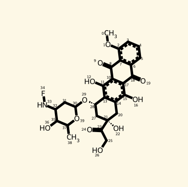 COc1cccc2c1C(=O)c1c(O)c3c(c(O)c1C2=O)C[C@@](O)(C(=O)CO)C[C@@H]3OC1CC(NF)C(O)C(C)O1